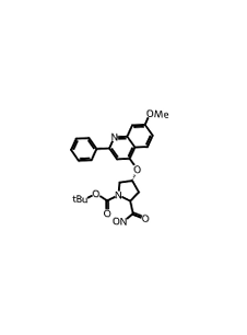 COc1ccc2c(O[C@@H]3CC(C(=O)N=O)N(C(=O)OC(C)(C)C)C3)cc(-c3ccccc3)nc2c1